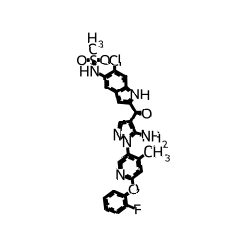 Cc1cc(Oc2ccccc2F)ncc1-n1ncc(C(=O)c2cc3cc(NS(C)(=O)=O)c(Cl)cc3[nH]2)c1N